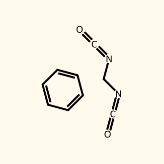 O=C=NCN=C=O.c1ccccc1